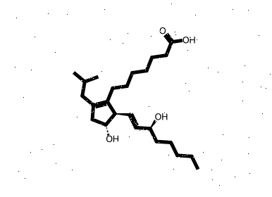 CCCCC[C@H](O)C=C[C@@H]1C(CCCCCCC(=O)O)=C(CC(C)C)C[C@H]1O